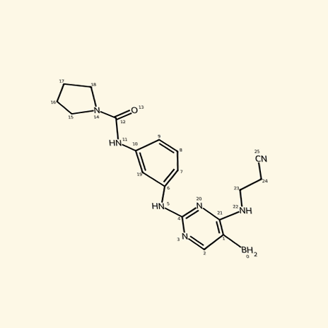 Bc1cnc(Nc2cccc(NC(=O)N3CCCC3)c2)nc1NCCC#N